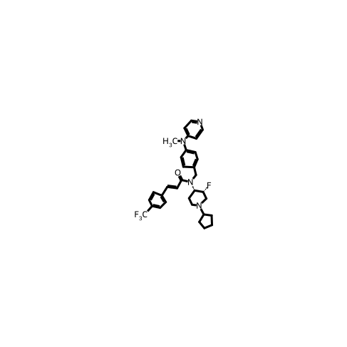 CN(c1ccncc1)c1ccc(CN(C(=O)C=Cc2ccc(C(F)(F)F)cc2)[C@H]2CCN(C3CCCC3)C[C@H]2F)cc1